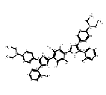 CCN(CC)c1ccc(-c2nc(-c3c(F)c(F)c(-c4nc(-c5ccc(N(CC)CC)cc5)c(-c5ccccc5Cl)o4)c(F)c3F)oc2-c2ccccc2Cl)cc1